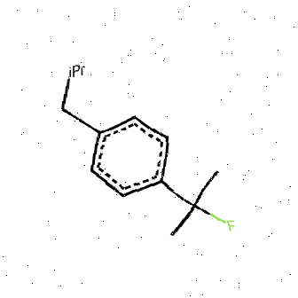 CC(C)Cc1ccc(C(C)(C)F)cc1